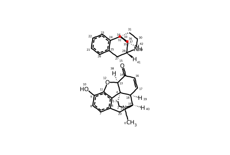 CN1CC[C@]23c4c5ccc(O)c4O[C@H]2C(=O)C=C[C@H]3[C@H]1C5.c1ccc2c(c1)C[C@H]1NCC[C@@]23CCCC[C@@H]13